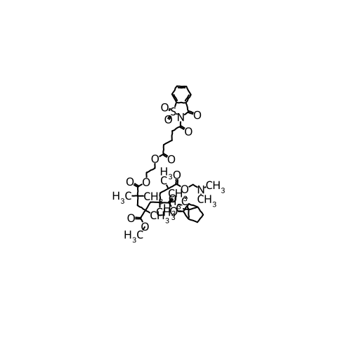 COC(=O)C(C)(CC(C)(C)C(=O)OCCOC(=O)CCCC(=O)N1C(=O)c2ccccc2S1(=O)=O)CC(C)(CC(C)(C)C(=O)OCN(C)C)C(=O)OC1CC2CCC1C2(C)C